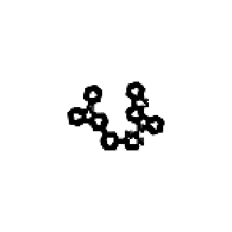 c1ccc(-n2c3ccccc3c3cc(-c4cccc(-c5ccnc(-n6c7ccccc7c7c8sc9ccccc9c8ccc76)n5)c4)ccc32)cc1